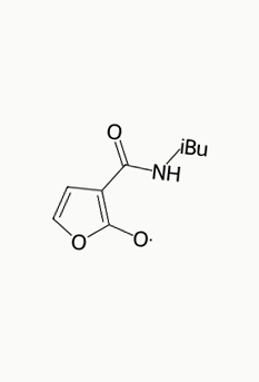 CCC(C)NC(=O)c1ccoc1[O]